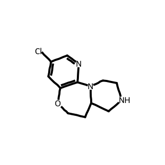 Clc1cnc2c(c1)OCCC1CNCCN21